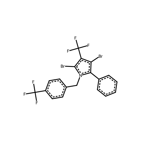 FC(F)(F)c1ccc(Cn2c(Br)c(C(F)(F)F)c(Br)c2-c2ccccc2)cc1